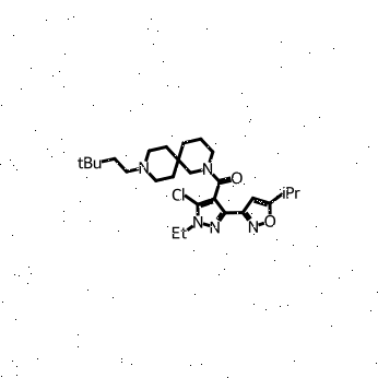 CCn1nc(-c2cc(C(C)C)on2)c(C(=O)N2CCCC3(CCN(CCC(C)(C)C)CC3)C2)c1Cl